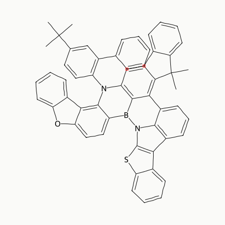 CC(C)(C)c1ccc(N2c3cc4c(c5c3B(c3ccc6oc7ccccc7c6c32)n2c3sc6ccccc6c3c3cccc-5c32)C(C)(C)c2ccccc2-4)c(-c2ccccc2)c1